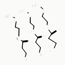 CCCCSCCOC(=O)CCS.CCCCSCCOC(=O)CCS.CCCCSCCOC(=O)CCS.[Sb]